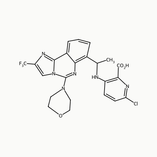 CC(Nc1ccc(Cl)nc1C(=O)O)c1cccc2c1nc(N1CCOCC1)n1cc(C(F)(F)F)nc21